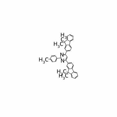 Cc1ccc(-c2nc(-c3ccc4c(c3)C(C)(C)c3ccccc3-4)cc(-c3ccc4c(c3)C(C)(C)c3ccccc3-4)n2)cc1